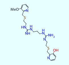 COc1cccnc1CSCCNC(=N)NCCCNC(N)=NCCSCc1ncccc1O